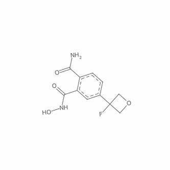 NC(=O)c1ccc(C2(F)COC2)cc1C(=O)NO